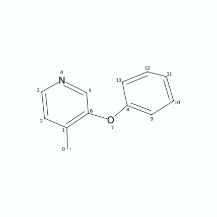 [CH2]c1ccncc1Oc1ccccc1